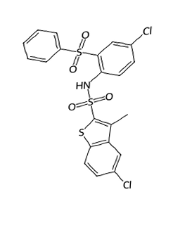 Cc1c(S(=O)(=O)Nc2ccc(Cl)cc2S(=O)(=O)c2ccccc2)sc2ccc(Cl)cc12